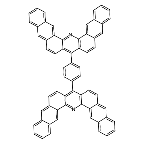 c1ccc2cc3c(ccc4c(-c5ccc(-c6c7ccc8cc9ccccc9cc8c7nc7c6ccc6cc8ccccc8cc67)cc5)c5ccc6cc7ccccc7cc6c5nc43)cc2c1